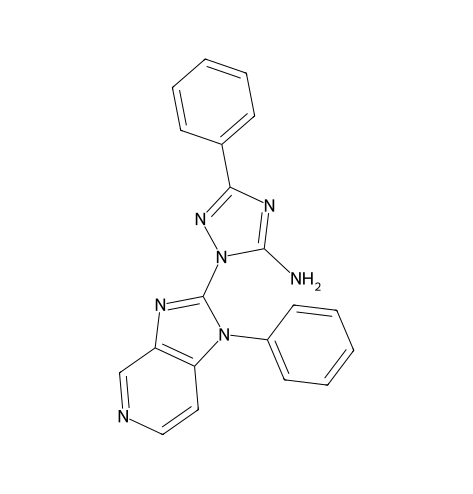 Nc1nc(-c2ccccc2)nn1-c1nc2cnccc2n1-c1ccccc1